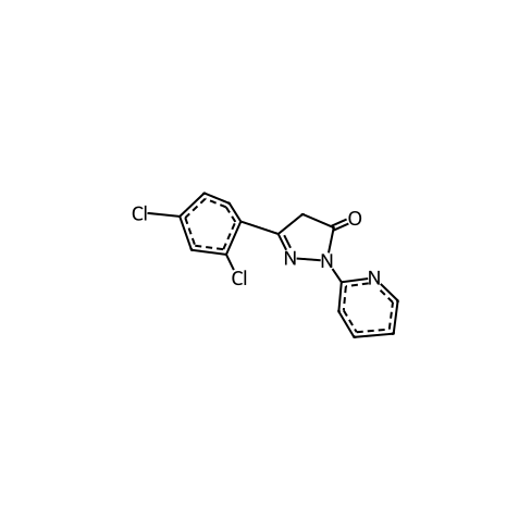 O=C1CC(c2ccc(Cl)cc2Cl)=NN1c1ccccn1